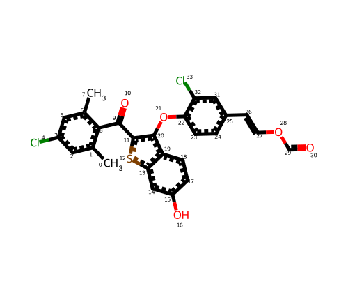 Cc1cc(Cl)cc(C)c1C(=O)c1sc2cc(O)ccc2c1Oc1ccc(/C=C/OC=O)cc1Cl